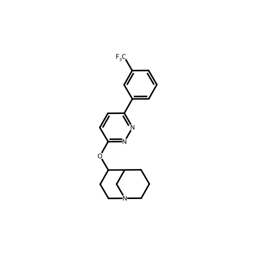 FC(F)(F)c1cccc(-c2ccc(OC3CCN4CCCC3C4)nn2)c1